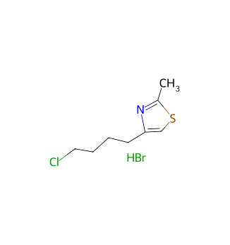 Br.Cc1nc(CCCCCl)cs1